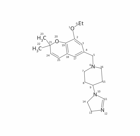 CCOc1cc(CN2CCC(N3C=NCC3)CC2)cc2c1OC(C)(C)C=C2